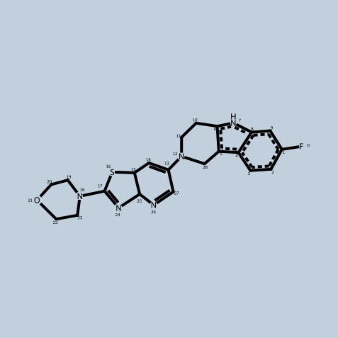 Fc1ccc2c3c([nH]c2c1)CCN(C1=CC2SC(N4CCOCC4)=NC2N=C1)C3